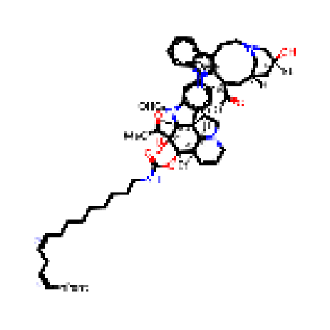 CCCCC/C=C\C/C=C\CCCCCCCCNC(=O)O[C@@H]1[C@]2(CC)C=CCN3CC[C@@]4(c5cc([C@@]6(C(=O)OC)C[C@@H]7CN(CCc8c6[nH]c6ccccc86)C[C@](O)(CC)C7)c(OC)cc5N(C=O)[C@H]4[C@@]1(O)C(=O)OC)[C@@H]32